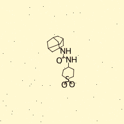 O=C(NC1CCS(=O)(=O)CC1)NC12CC3CC(CC(C3)C1)C2